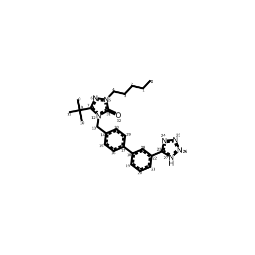 CCCCCn1nc(C(C)(C)C)n(Cc2ccc(-c3cccc(-c4nnn[nH]4)c3)cc2)c1=O